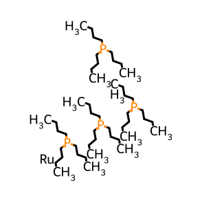 CCCCP(CCCC)CCCC.CCCCP(CCCC)CCCC.CCCCP(CCCC)CCCC.CCCCP(CCCC)CCCC.[Ru]